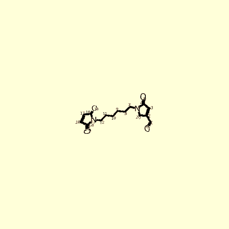 O=CC1=CC(=O)N(CCCCCCN2C(=O)C=CC2=O)C1